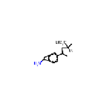 CCOC(=O)C(C)(CC)CC(C)c1ccc2c(c1)CC2N